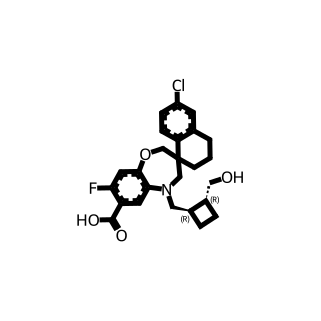 O=C(O)c1cc2c(cc1F)OCC1(CCCc3cc(Cl)ccc31)CN2C[C@@H]1CC[C@H]1CO